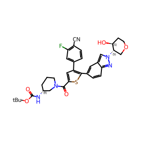 CC(C)(C)OC(=O)N[C@@H]1CCCN(C(=O)c2cc(-c3ccc(C#N)c(F)c3)c(-c3ccc4nn([C@H]5COCC[C@@H]5O)cc4c3)s2)C1